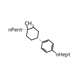 CCCCCCCc1ccc([C@H]2CC[C@@](C)(CCCCC)CC2)cc1